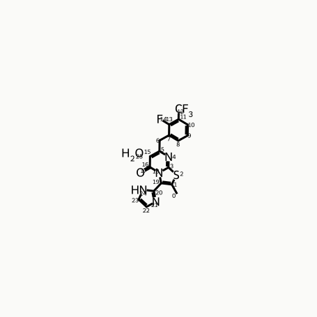 Cc1sc2nc(Cc3cccc(C(F)(F)F)c3F)cc(=O)n2c1-c1ncc[nH]1.O